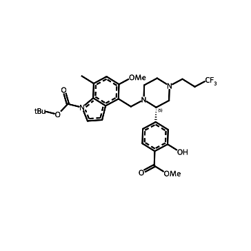 COC(=O)c1ccc([C@H]2CN(CCC(F)(F)F)CCN2Cc2c(OC)cc(C)c3c2ccn3C(=O)OC(C)(C)C)cc1O